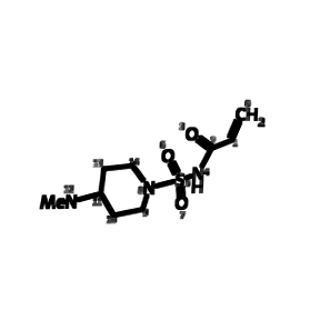 C=CC(=O)NS(=O)(=O)N1CCC(NC)CC1